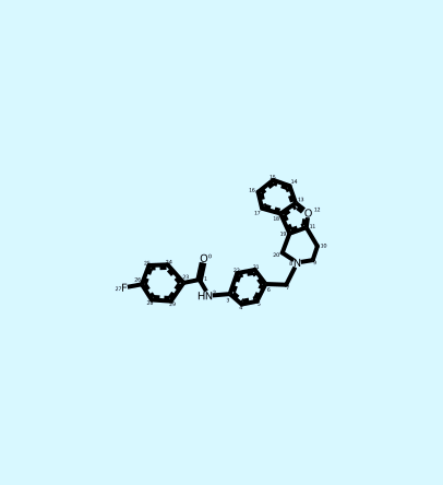 O=C(Nc1ccc(CN2CCc3oc4ccccc4c3C2)cc1)c1ccc(F)cc1